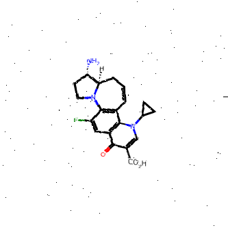 N[C@H]1CCN2c3c(F)cc4c(=O)c(C(=O)O)cn(C5CC5)c4c3C=CC[C@H]12